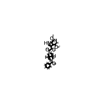 COc1ncc(OC)c2c(C(=O)C(=O)N3C[C@@H]4CN(C(=O)c5ccccc5)C[C@@H]4C3)c[nH]c12